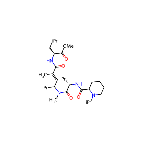 COC(=O)[C@H](CC(C)C)NC(=O)/C(C)=C/[C@H](C(C)C)N(C)C(=O)[C@@H](NC(=O)[C@H]1CCCCN1C(C)C)C(C)C